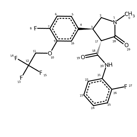 CN1C[C@H](c2ccc(F)c(OCC(F)(F)F)c2)[C@@H](C(=O)Nc2ccccc2F)C1=O